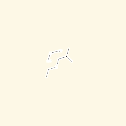 CCCOCCC.CCOCC(C)C